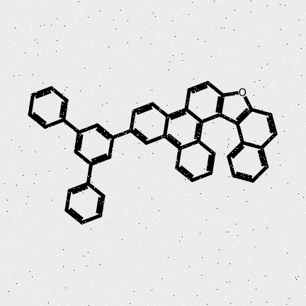 c1ccc(-c2cc(-c3ccccc3)cc(-c3ccc4c(c3)c3ccccc3c3c4ccc4oc5ccc6ccccc6c5c43)c2)cc1